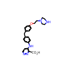 O=C(O)c1nnccc1Nc1ccc(Cc2ccc(OCCN3CCNCC3)cc2)cc1